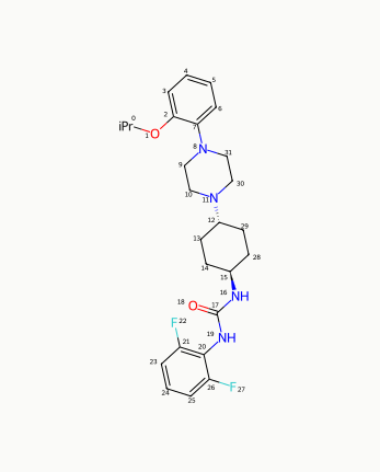 CC(C)Oc1ccccc1N1CCN([C@H]2CC[C@H](NC(=O)Nc3c(F)cccc3F)CC2)CC1